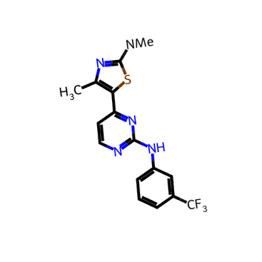 CNc1nc(C)c(-c2ccnc(Nc3cccc(C(F)(F)F)c3)n2)s1